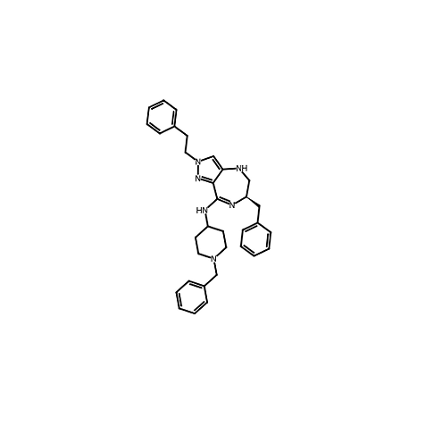 c1ccc(CCn2cc3c(n2)C(NC2CCN(Cc4ccccc4)CC2)=N[C@H](Cc2ccccc2)CN3)cc1